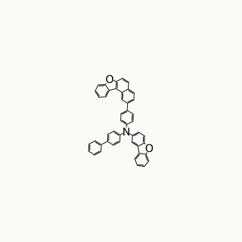 c1ccc(-c2ccc(N(c3ccc(-c4ccc5ccc6oc7ccccc7c6c5c4)cc3)c3ccc4oc5ccccc5c4c3)cc2)cc1